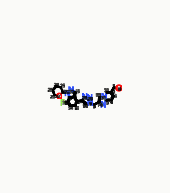 O=Cc1ccc2nc(Cn3cc(-c4ccc(F)c5c4cnn5C4CCCCO4)nn3)cn2c1